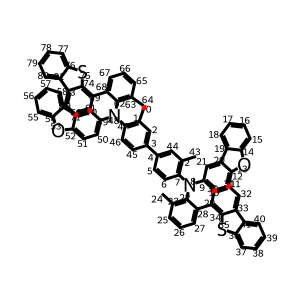 Cc1cc(-c2ccc(N(c3ccc4oc5ccccc5c4c3)c3c(C)cccc3-c3cccc4c3sc3ccccc34)c(C)c2)ccc1N(c1ccc2oc3ccccc3c2c1)c1c(C)cccc1-c1cccc2c1sc1ccccc12